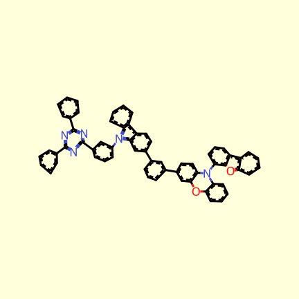 c1ccc(-c2nc(-c3ccccc3)nc(-c3cccc(-n4c5ccccc5c5ccc(-c6cccc(-c7ccc8c(c7)Oc7ccccc7N8c7cccc8c7oc7ccccc78)c6)cc54)c3)n2)cc1